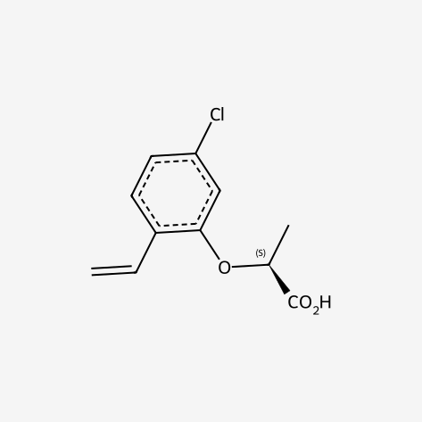 C=Cc1ccc(Cl)cc1O[C@@H](C)C(=O)O